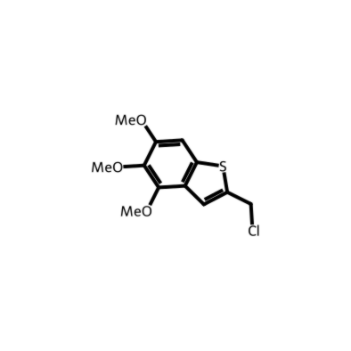 COc1cc2sc(CCl)cc2c(OC)c1OC